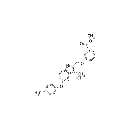 COC(=O)c1cccc(OCc2nc3ccc(Oc4ccc(C)cc4)nc3n2C)c1.Cl